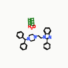 Cl.Cl.Cl.O.c1ccc(-c2nc3ccccc3n2CCN2CCN(C(c3ccccc3)c3ccccc3)CC2)cc1